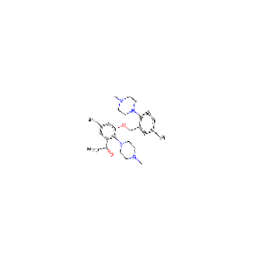 COC(=O)c1cc(C(C)C)cc(OCc2cc(C(C)C)ccc2N2CCN(C)CC2)c1N1CCN(C)CC1